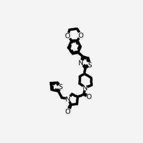 O=C1CC(C(=O)N2CCC(c3nc(-c4ccc5c(c4)OCCO5)cs3)CC2)CN1Cc1cccs1